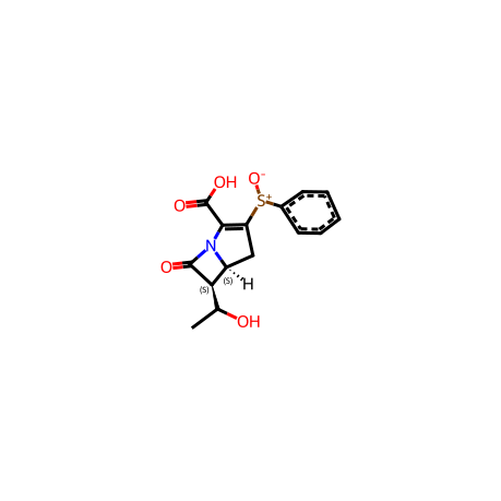 CC(O)[C@H]1C(=O)N2C(C(=O)O)=C([S+]([O-])c3ccccc3)C[C@@H]12